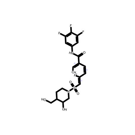 C\C=C(/C=C\C(F)=C\S(=O)(=O)N1CCC(CO)C(O)C1)C(=O)Nc1cc(F)c(F)c(F)c1